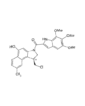 COc1cc2cc(C(=O)N3C[C@@H](CCl)c4c3cc(O)c3ccc(C)cc43)[nH]c2c(OC)c1OC